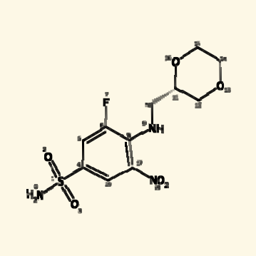 NS(=O)(=O)c1cc(F)c(NC[C@H]2COCCO2)c([N+](=O)[O-])c1